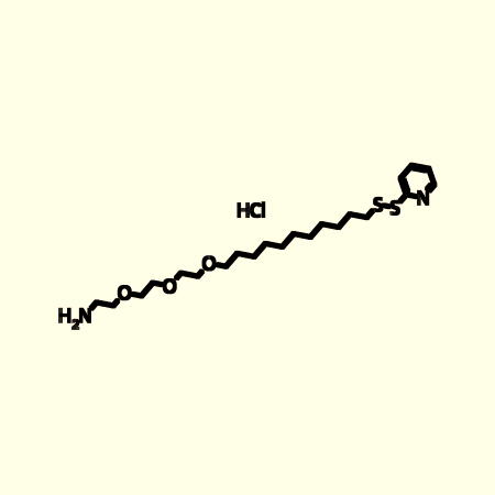 Cl.NCCOCCOCCOCCCCCCCCCCCSSc1ccccn1